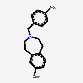 COc1ccc2c(c1)CCN(Cc1ccc([N+](=O)[O-])cc1)CC2